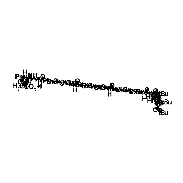 CC(C)[C@H](NC(=O)[C@@H](N)CCCCNC(=O)CCOCCOCCOCCOCCNC(=O)CCOCCOCCOCCOCCNC(=O)CCOCCOCCOCCOCCNC(=O)CC[C@H](NC(=O)N[C@@H](CCC(=O)OC(C)(C)C)C(=O)OC(C)(C)C)C(=O)OC(C)(C)C)C(=O)N[C@@H](C)C(=O)O